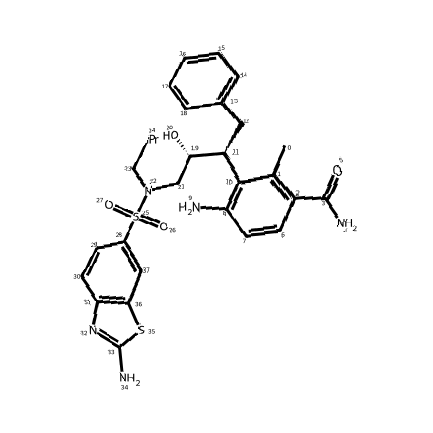 Cc1c(C(N)=O)ccc(N)c1[C@H](Cc1ccccc1)[C@@H](O)CN(CC(C)C)S(=O)(=O)c1ccc2nc(N)sc2c1